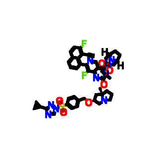 C#Cc1c(F)ccc2cccc(-c3ncc4c(N5C[C@H]6CC[C@@H](C5)N6C(=O)OC(C)(C)C)nc(OC[C@@]56CCCN5C[C@H](OCc5ccc(S(=O)(=O)n7cnc(C8CC8)n7)cc5)C6)nc4c3F)c12